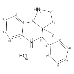 CC12CCNC1c1ccccc1NC2c1ccccc1.Cl